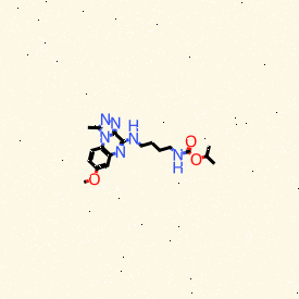 COc1ccc2c(c1)nc(NCCCCNC(=O)OC(C)C)c1nnc(C)n12